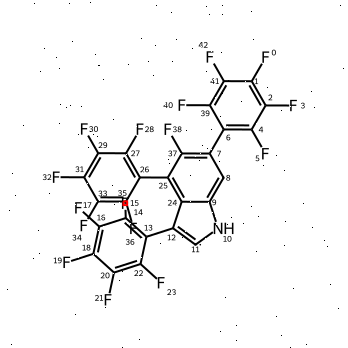 Fc1c(F)c(F)c(-c2cc3[nH][c]c(-c4c(F)c(F)c(F)c(F)c4F)c3c(-c3c(F)c(F)c(F)c(F)c3F)c2F)c(F)c1F